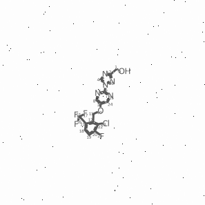 OCc1ncn(-c2ncc(OCc3c(C(F)(F)F)ccc(F)c3Cl)cn2)n1